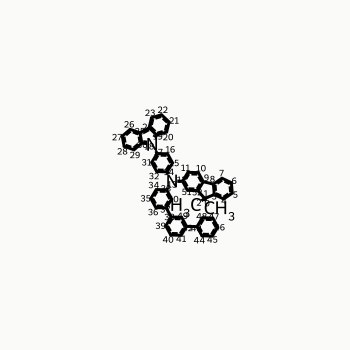 CC1(C)c2ccccc2-c2ccc(N(c3ccc(-n4c5ccccc5c5ccccc54)cc3)c3cccc(-c4cccc(-c5ccccc5)c4)c3)cc21